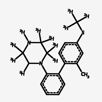 [2H]C1N(c2ccccc2-c2ccc(SC([2H])([2H])[2H])cc2C)C([2H])([2H])C([2H])([2H])N([2H])C1([2H])[2H]